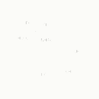 CCC(C)(NC(C)=O)C(=O)O.Cc1cccc(C)c1C